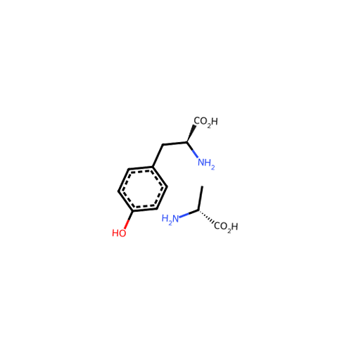 C[C@@H](N)C(=O)O.N[C@@H](Cc1ccc(O)cc1)C(=O)O